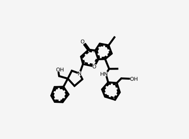 Cc1cc(C(C)Nc2ccccc2CO)c2oc(N3CCC(CO)(c4ccccc4)C3)cc(=O)c2c1